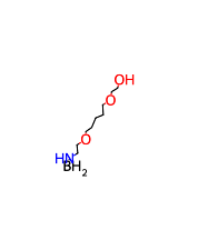 BNCCOCCCCCOCCO